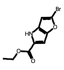 CCOC(=O)c1cc2oc(Br)cc2[nH]1